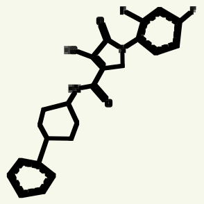 O=C(NC1CCC(c2ccccc2)CC1)C1=C(O)C(=O)N(c2ccc(F)cc2F)C1